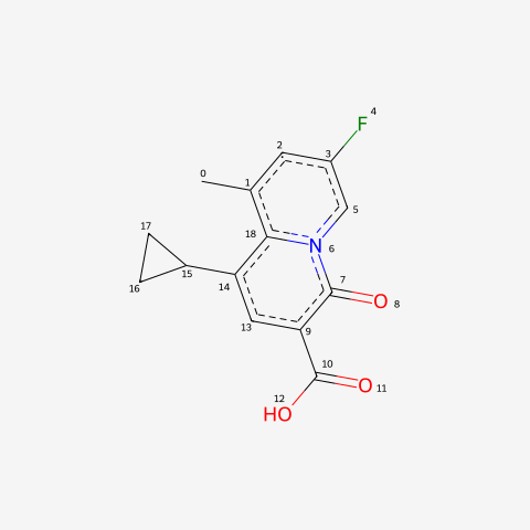 Cc1[c]c(F)cn2c(=O)c(C(=O)O)cc(C3CC3)c12